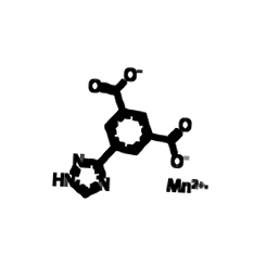 O=C([O-])c1cc(C(=O)[O-])cc(-c2nc[nH]n2)c1.[Mn+2]